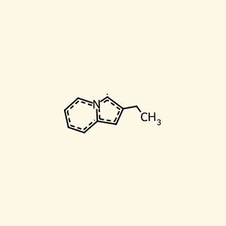 CCc1[c]n2ccccc2c1